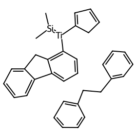 C[Si](C)=[Ti]([C]1=CC=CC1)[c]1cccc2c1Cc1ccccc1-2.c1ccc(CCc2ccccc2)cc1